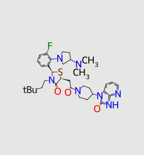 CN(C)C1CCN(c2c(F)cccc2[C@H]2S[C@@H](CC(=O)N3CCC(n4c(=O)[nH]c5ncccc54)CC3)C(=O)N2CCC(C)(C)C)C1